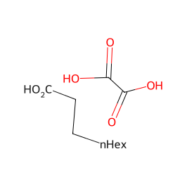 CCCCCCCCC(=O)O.O=C(O)C(=O)O